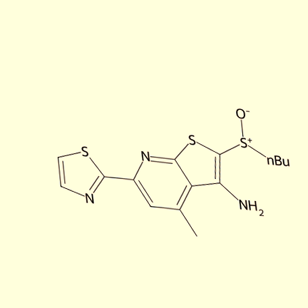 CCCC[S+]([O-])c1sc2nc(-c3nccs3)cc(C)c2c1N